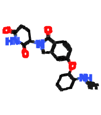 CC(C)NC1CCCCC1Oc1ccc2c(c1)CN(C1CCC(=O)NC1=O)C2=O